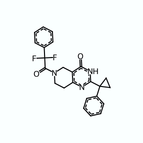 O=C(N1CCc2nc(C3(c4ccccc4)CC3)[nH]c(=O)c2C1)C(F)(F)c1ccccc1